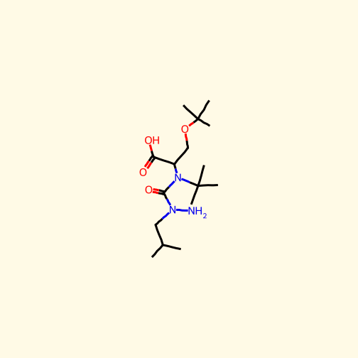 CC(C)CN(N)C(=O)N(C(COC(C)(C)C)C(=O)O)C(C)(C)C